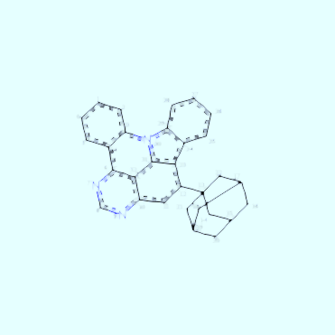 c1ccc2c(c1)c1ncnc3cc(C45CC6CC(CC(C6)C4)C5)c4c5ccccc5n2c4c31